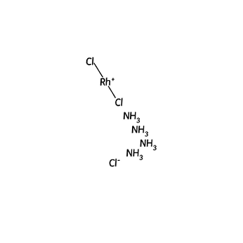 N.N.N.N.[Cl-].[Cl][Rh+][Cl]